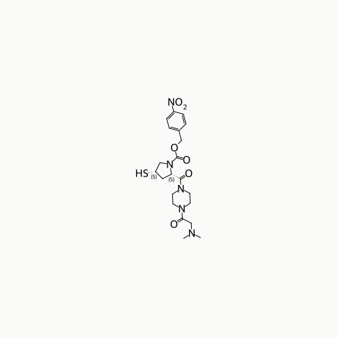 CN(C)CC(=O)N1CCN(C(=O)[C@@H]2C[C@H](S)CN2C(=O)OCc2ccc([N+](=O)[O-])cc2)CC1